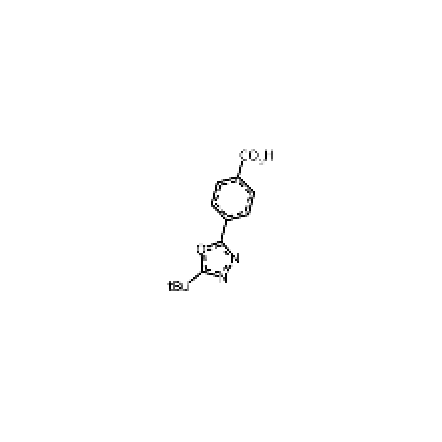 CC(C)(C)c1nnc(-c2ccc(C(=O)O)cc2)o1